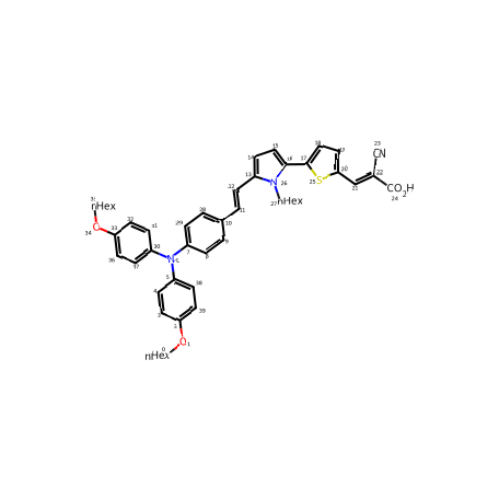 CCCCCCOc1ccc(N(c2ccc(/C=C/c3ccc(-c4ccc(/C=C(\C#N)C(=O)O)s4)n3CCCCCC)cc2)c2ccc(OCCCCCC)cc2)cc1